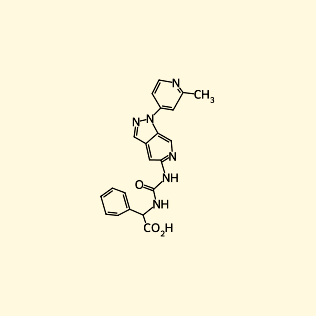 Cc1cc(-n2ncc3cc(NC(=O)NC(C(=O)O)c4ccccc4)ncc32)ccn1